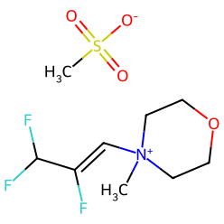 CS(=O)(=O)[O-].C[N+]1(/C=C(\F)C(F)F)CCOCC1